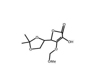 COCOC1=C(O)C(=O)OC1C1COC(C)(C)O1